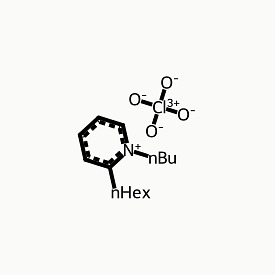 CCCCCCc1cccc[n+]1CCCC.[O-][Cl+3]([O-])([O-])[O-]